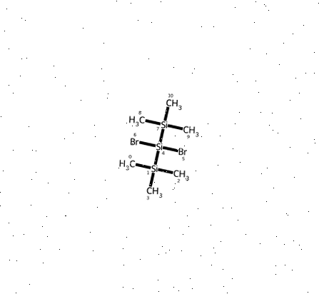 C[Si](C)(C)[Si](Br)(Br)[Si](C)(C)C